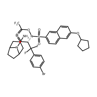 NC1CC2CCC(C1)N2C(=O)[C@H](N(OC(=O)C(F)(F)F)S(=O)(=O)c1ccc2cc(OC3CCCC3)ccc2c1)C(F)(F)c1ccc(Br)cc1